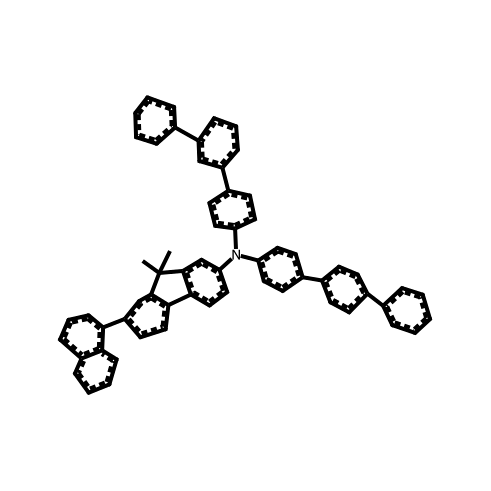 CC1(C)c2cc(-c3cccc4ccccc34)ccc2-c2ccc(N(c3ccc(-c4ccc(-c5ccccc5)cc4)cc3)c3ccc(-c4cccc(-c5ccccc5)c4)cc3)cc21